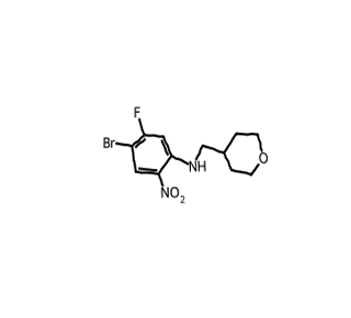 O=[N+]([O-])c1cc(Br)c(F)cc1NCC1CCOCC1